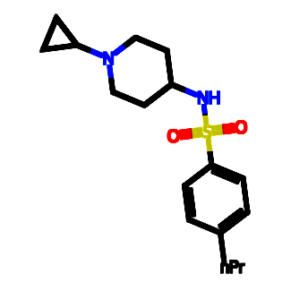 CCCc1ccc(S(=O)(=O)NC2CCN(C3CC3)CC2)cc1